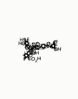 O=C(O)c1c(F)ccc2c1OB(O)[C@@H](NC(=O)C(NC(=O)N1CCN(C3CCN(C(=O)Nc4cc(O)cc(Cl)c4)CC3)C(=O)C1=O)c1cc(F)c(O)c(O)c1Cl)C2